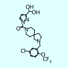 O=C(N1CCC2(CCN(Cc3cc(Cl)ccc3OC(F)(F)F)C2)CC1)n1ccc(C(O)O)n1